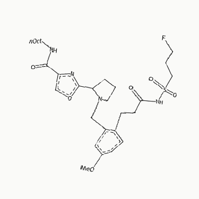 CCCCCCCCNC(=O)c1coc(C2CCCN2Cc2cc(OC)ccc2CCC(=O)NS(=O)(=O)CCCF)n1